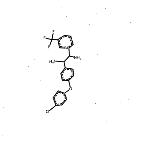 NC(c1ccc(Oc2ccc(Cl)cc2)cc1)C(N)c1cccc(C(F)(F)F)c1